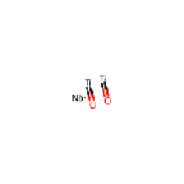 [Nb].[O]=[Ti].[O]=[Ti]